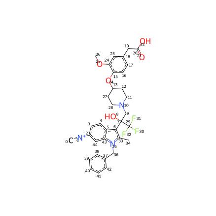 [C-]#[N+]c1ccc2c(C(O)(CN3CCC(Oc4ccc(CC(=O)O)cc4OC)CC3)C(F)(F)F)c(C)n(Cc3ccccc3)c2c1